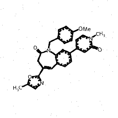 COc1ccc(CN2C(=O)CC(c3ncc(C)o3)=Cc3ccc(-c4ccn(C)c(=O)c4)cc32)cc1